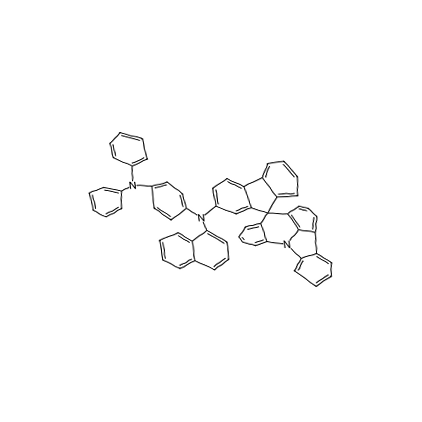 c1ccc(N(c2ccccc2)c2ccc(N(c3ccc4c(c3)C3(c5ccccc5-4)c4ccccc4-n4c5ccccc5c5cccc3c54)c3cccc4ccccc34)cc2)cc1